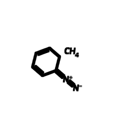 C.[N-]=[N+]=C1C=CC=CC1